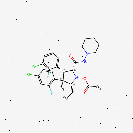 CC(C)(C)C[C@@H]1N(OC(=O)C(F)(F)F)[C@@H](C(=O)NN2CCCCC2)[C@H](c2cccc(Cl)c2F)[C@@]1(C#N)c1ccc(Cl)cc1F